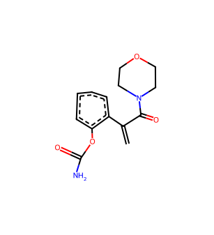 C=C(C(=O)N1CCOCC1)c1ccccc1OC(N)=O